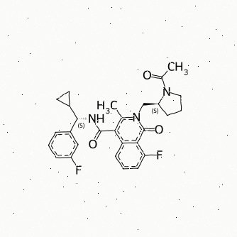 CC(=O)N1CCC[C@H]1Cn1c(C)c(C(=O)N[C@H](c2cccc(F)c2)C2CC2)c2cccc(F)c2c1=O